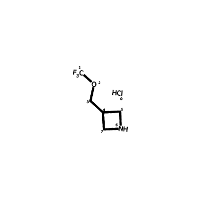 Cl.FC(F)(F)OCC1CNC1